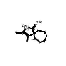 CC1=C(C)C2(CCCCCC2)C(=O)N1